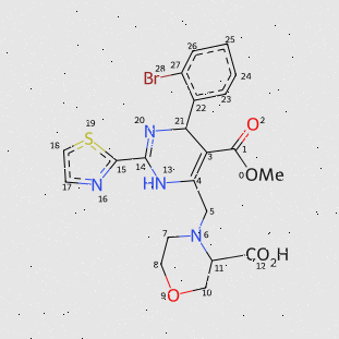 COC(=O)C1=C(CN2CCOCC2C(=O)O)NC(c2nccs2)=NC1c1ccccc1Br